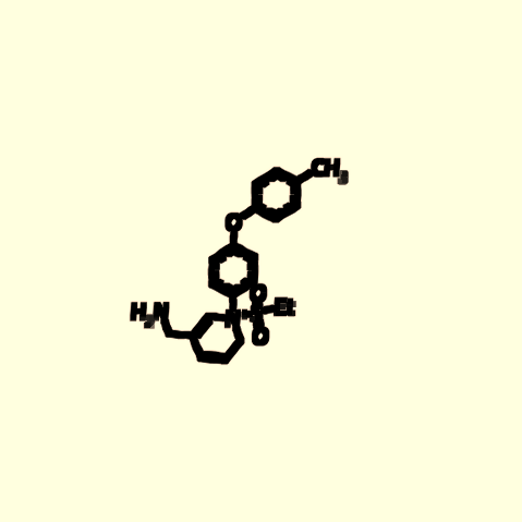 CCS(=O)(=O)[N+]1(c2ccc(Oc3ccc(C)cc3)cc2)C=C(CN)C=CC1